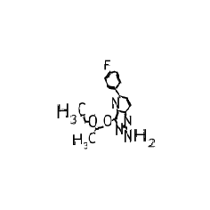 CCOC(C)COc1nc(N)nc2ccc(-c3ccc(F)cc3)nc12